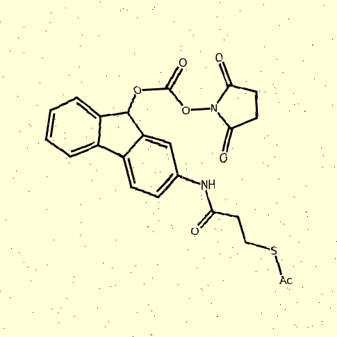 CC(=O)SCCC(=O)Nc1ccc2c(c1)C(OC(=O)ON1C(=O)CCC1=O)c1ccccc1-2